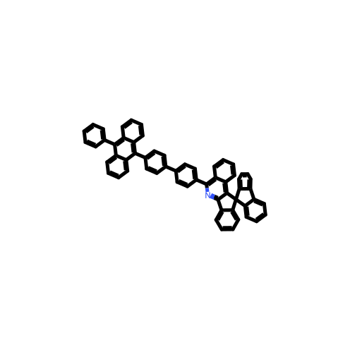 c1ccc(-c2c3ccccc3c(-c3ccc(-c4ccc(-c5nc6c(c7ccccc57)C5(c7ccccc7-c7ccccc75)c5ccccc5-6)cc4)cc3)c3ccccc23)cc1